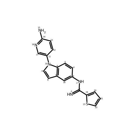 N=C(Nc1ccc2c(ccn2-c2ccc(N)nc2)c1)c1cccs1